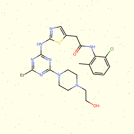 CCc1nc(Nc2ncc(CC(=O)Nc3c(C)cccc3Cl)s2)nc(N2CCN(CCO)CC2)n1